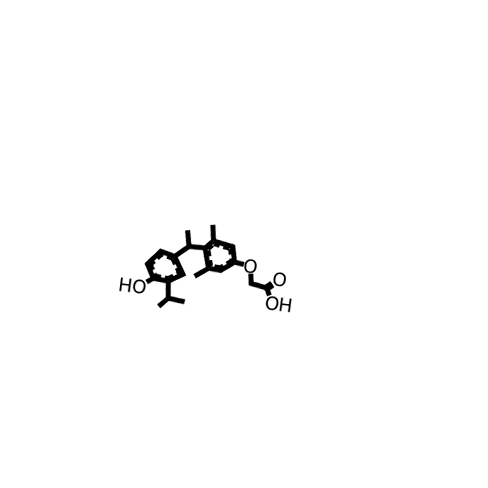 Cc1cc(OCC(=O)O)cc(C)c1C(C)c1ccc(O)c(C(C)C)c1